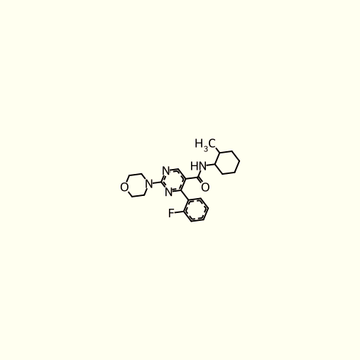 CC1CCCCC1NC(=O)c1cnc(N2CCOCC2)nc1-c1ccccc1F